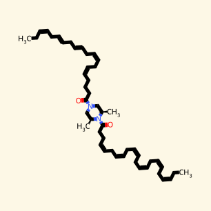 CC/C=C\CC=CCC=CC/C=C\C/C=C\CCCC(=O)N1C[C@@H](C)N(C(=O)CC/C=C\C/C=C\C/C=C\C/C=C\C/C=C\C/C=C\CC)[C@@H](C)C1